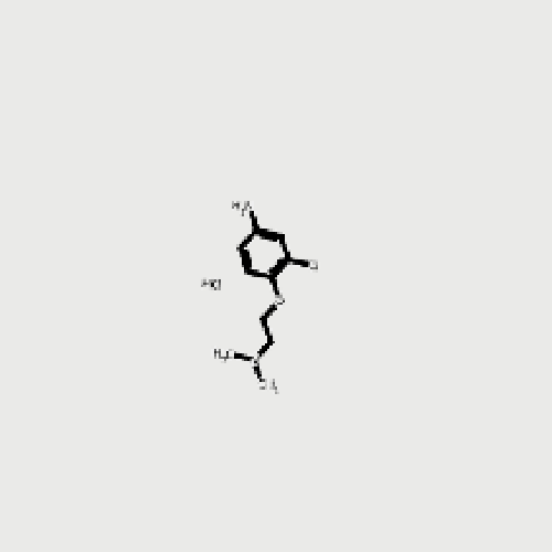 CN(C)CCOc1ccc(N)cc1Cl.Cl